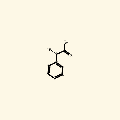 O=C(O)[C@@H](F)c1ccccc1